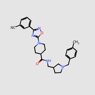 Cc1ccc(CN2CCC(CNC(=O)C3CCN(c4nc(-c5cccc(C#N)c5)no4)CC3)C2)cc1